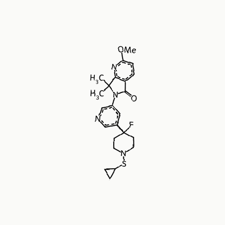 COc1ccc2c(n1)C(C)(C)N(c1cncc(C3(F)CCN(SC4CC4)CC3)c1)C2=O